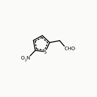 O=[C]Cc1ccc([N+](=O)[O-])s1